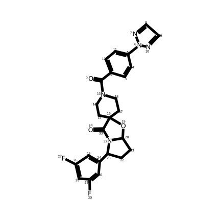 O=C(c1ccc(-n2nccn2)cc1)N1CCC2(CC1)OC1CCC(c3cc(F)cc(F)c3)N1C2=O